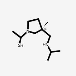 CC(C)NC[C@]1(C)CCN(C(C)S)C1